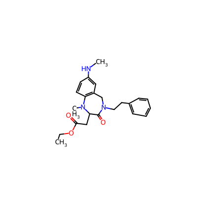 CCOC(=O)CC1C(=O)N(CCc2ccccc2)Cc2cc(NC)ccc2N1C